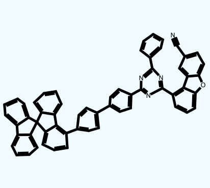 N#Cc1ccc2oc3cccc(-c4nc(-c5ccccc5)nc(-c5ccc(-c6ccc(-c7cccc8c7-c7ccccc7C87c8ccccc8-c8ccccc87)cc6)cc5)n4)c3c2c1